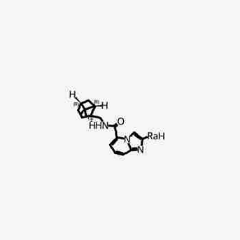 CC1(C)[C@@H]2CC[C@H](CNC(=O)c3cccc4n[c]([RaH])cn34)[C@H]1C2